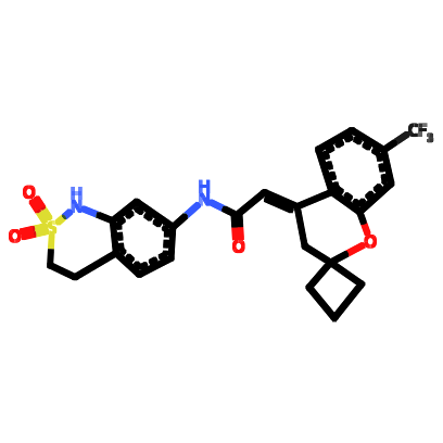 O=C(C=C1CC2(CCC2)Oc2cc(C(F)(F)F)ccc21)Nc1ccc2c(c1)NS(=O)(=O)CC2